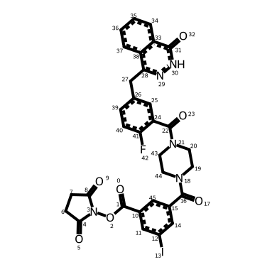 O=C(ON1C(=O)CCC1=O)c1cc(I)cc(C(=O)N2CCN(C(=O)c3cc(Cc4n[nH]c(=O)c5ccccc45)ccc3F)CC2)c1